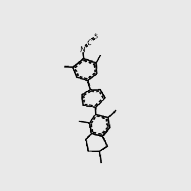 Cc1cc(-c2ccc(-c3c(C)cc4c(c3C)CCC(C)C4)cc2)cc(C)c1N=C=S